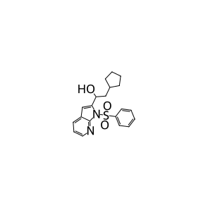 O=S(=O)(c1ccccc1)n1c(C(O)CC2CCCC2)cc2cccnc21